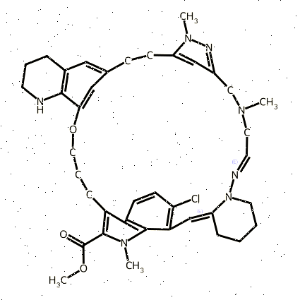 COC(=O)c1c2c3ccc(Cl)c(c3n1C)/C=C1\CCCCN1/N=C/CN(C)Cc1cc(n(C)n1)CCc1cc3c(c(c1)OCCC2)NCCC3